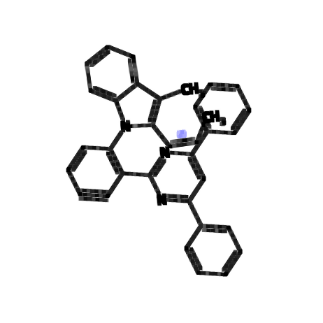 C/C=C\c1c(C)c2ccccc2n1-c1ccc#cc1-c1nc(-c2ccccc2)cc(-c2ccccc2)n1